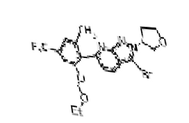 CCOCOc1cc(C(F)(F)F)cc(C)c1-c1ccc2c(Br)n([C@@H]3CCOC3)nc2n1